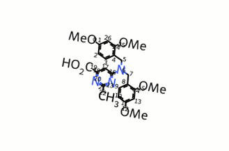 COc1ccc(CN(Cc2ccc(OC)cc2OC)c2cc(C(=O)O)nc(C)n2)c(OC)c1